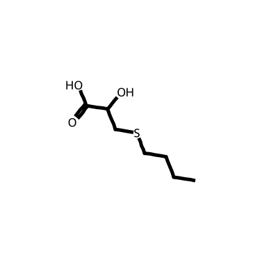 CCCCSCC(O)C(=O)O